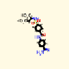 N=C(N)c1ccc(NC(=O)c2ccc(S(=O)(=O)N[C@@H](CC(=O)O)C(=O)O)cc2)cc1